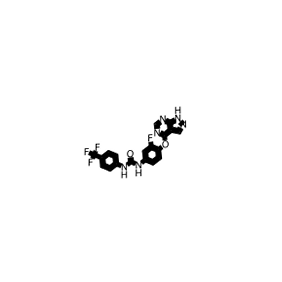 O=C(Nc1ccc(C(F)(F)F)cc1)Nc1ccc(Oc2ncnc3[nH]ncc23)c(F)c1